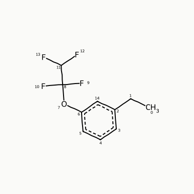 CCc1cccc(OC(F)(F)C(F)F)c1